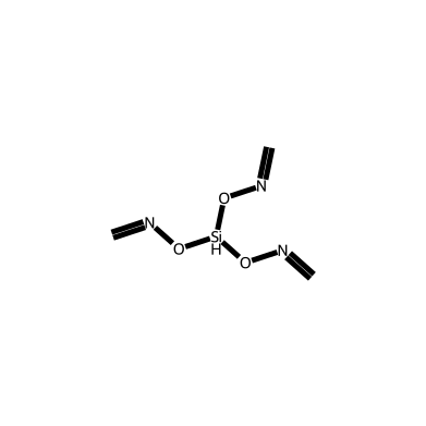 C=NO[SiH](ON=C)ON=C